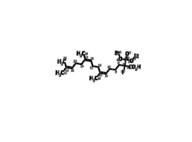 CCOP(=O)(OCC)C(F)(CCCC=C(C)CCC=C(C)CCC=C(C)C)C(=O)O